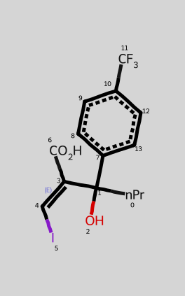 CCCC(O)(/C(=C\I)C(=O)O)c1ccc(C(F)(F)F)cc1